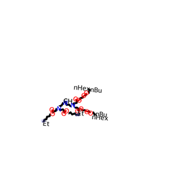 CC/C=C\CCCCOC(=O)CCN(CCCN(C)CCCN(CCC(=O)OCCOCOCC(CCCC)CCCCCC)CCC(=O)OCCOCOCC(CCCC)CCCCCC)CCC(=O)OCCCC/C=C\CC